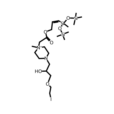 C[N+]1(CC(=O)OC/C=C\[Si](C)(O[Si](C)(C)C)O[Si](C)(C)C)CCN(CC(O)COCCI)CC1